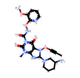 CC#CON1c2c(n(C)c(=O)n(C(=O)NOc3ncccc3OC(F)(F)F)c2=O)NC1N1CCCC(N)C1